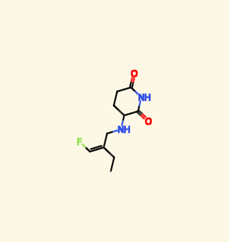 CC/C(=C/F)CNC1CCC(=O)NC1=O